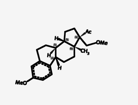 COC[C@]1(C(C)=O)CC[C@H]2[C@@H]3CCc4cc(OC)ccc4[C@H]3CC[C@@]21C